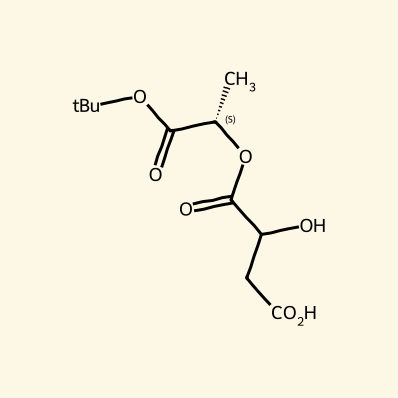 C[C@H](OC(=O)C(O)CC(=O)O)C(=O)OC(C)(C)C